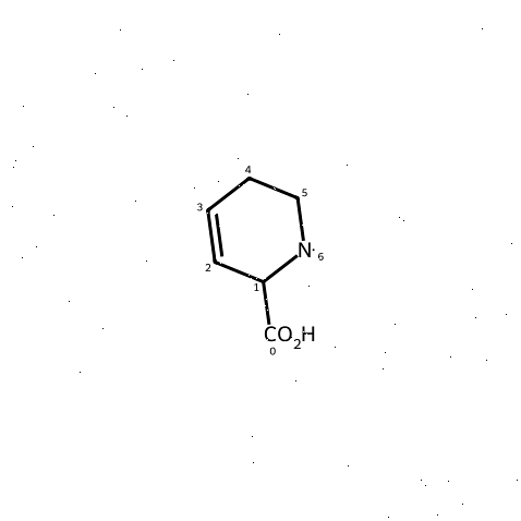 O=C(O)C1C=CCC[N]1